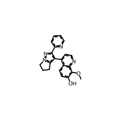 COc1c(O)ccc2c(-c3c(-c4ccccn4)nn4c3CCC4)ccnc12